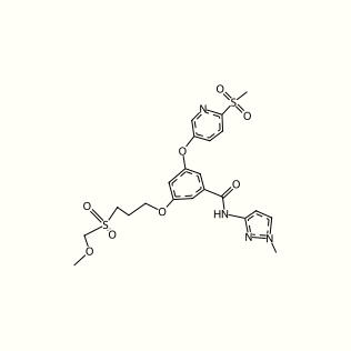 COCS(=O)(=O)CCCOc1cc(Oc2ccc(S(C)(=O)=O)nc2)cc(C(=O)Nc2ccn(C)n2)c1